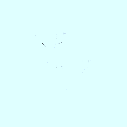 CC1c2[nH]c3c(c2C[C@@]2(O)[C@H]4Cc5cccc(O)c5[C@@]12CCN4CC1CC1)C[C@@]1(O)[C@@H]2CCC[C@@]14c1c(cccc1O[C@@H]34)C2